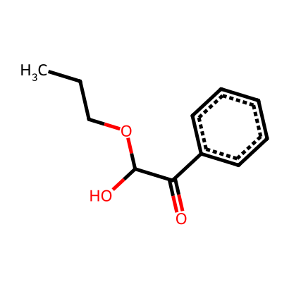 CCCOC(O)C(=O)c1ccccc1